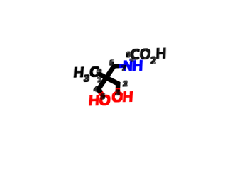 CC(CO)(CO)CNC(=O)O